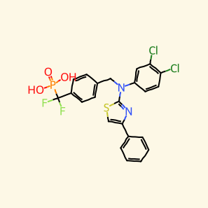 O=P(O)(O)C(F)(F)c1ccc(CN(c2ccc(Cl)c(Cl)c2)c2nc(-c3ccccc3)cs2)cc1